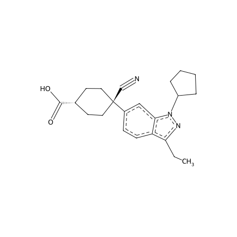 CCc1nn(C2CCCC2)c2cc([C@]3(C#N)CC[C@H](C(=O)O)CC3)ccc12